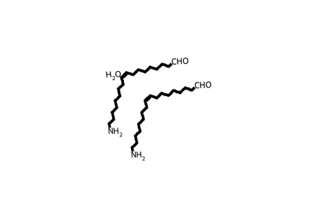 NCCCCCCCC/C=C\CCCCCCCC=O.NCCCCCCCC/C=C\CCCCCCCC=O.O